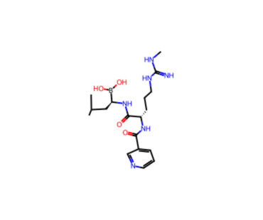 CNC(=N)NCCC[C@H](NC(=O)c1cccnc1)C(=O)N[C@@H](CC(C)C)B(O)O